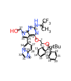 C[C@@H](Nc1nc(OCCO[Si](c2ccccc2)(c2ccccc2)C(C)(C)C)c2c(-c3ccc4nccn4c3)cn(CO)c2n1)C(F)(F)F